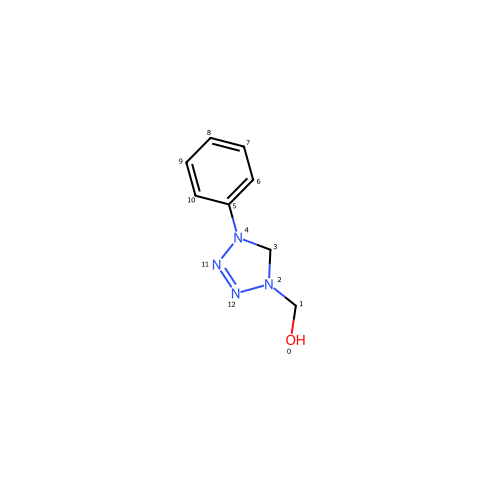 OCN1CN(c2ccccc2)N=N1